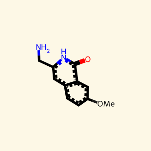 COc1ccc2cc(CN)[nH]c(=O)c2c1